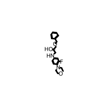 O[C@H](CNc1ccc(N2CCOCC2)c(F)c1)COCc1ccccc1